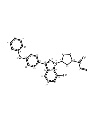 C=CC(=O)N1CCC(n2nc(-c3ccc(Oc4ccccc4)cc3)c3cncc(F)c32)C1